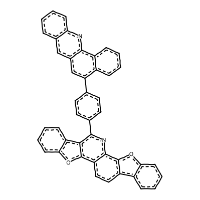 c1ccc2nc3c(cc(-c4ccc(-c5nc6c(ccc7c8ccccc8oc76)c6oc7ccccc7c56)cc4)c4ccccc43)cc2c1